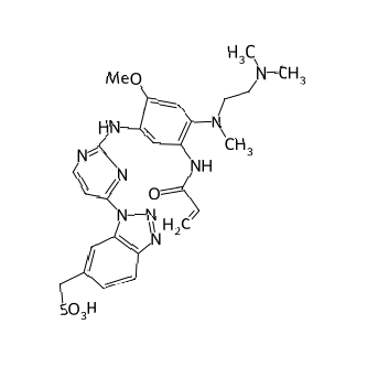 C=CC(=O)Nc1cc(Nc2nccc(-n3nnc4ccc(CS(=O)(=O)O)cc43)n2)c(OC)cc1N(C)CCN(C)C